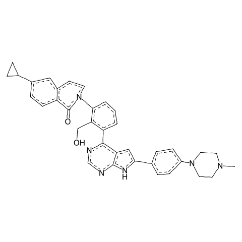 CN1CCN(c2ccc(-c3cc4c(-c5cccc(-n6ccc7cc(C8CC8)ccc7c6=O)c5CO)ncnc4[nH]3)cc2)CC1